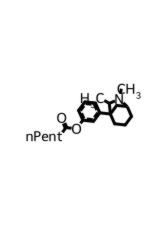 CCCCCC(=O)Oc1cccc(C23CCCC(C2)N(C)C3C)c1